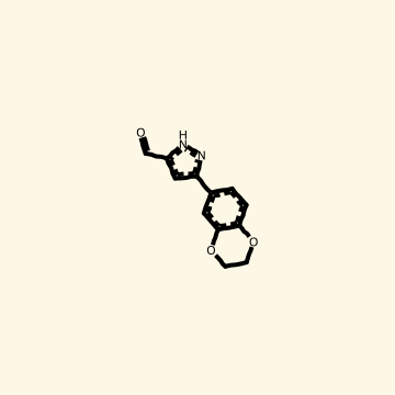 O=Cc1cc(-c2ccc3c(c2)OCCO3)n[nH]1